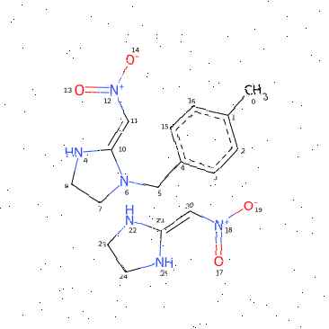 Cc1ccc(CN2CCNC2=C[N+](=O)[O-])cc1.O=[N+]([O-])C=C1NCCN1